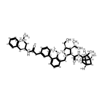 COc1c(CN2O[C@@H](CO)[C@@H]([C@H](C)O)[C@H]2C(=O)NC2C[C@H]3C[C@@H]([C@@H]2C)C3(C)C)cccc1-c1cccc(CC(=O)N[C@@H](Cc2ccccc2)CN(C)C)c1